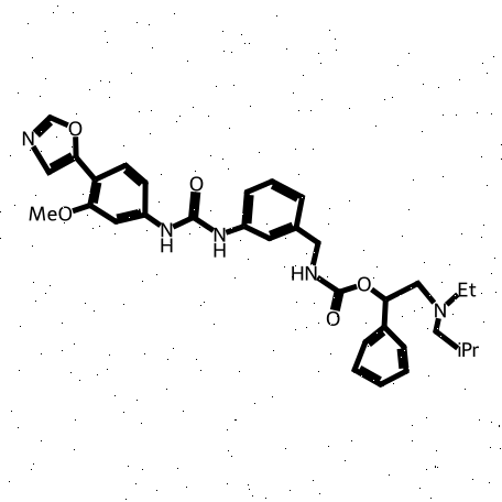 CCN(CC(C)C)CC(OC(=O)NCc1cccc(NC(=O)Nc2ccc(-c3cnco3)c(OC)c2)c1)c1ccccc1